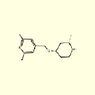 Cc1cc(CO[C@H]2CCN[C@@H](C)C2)cc(C)n1